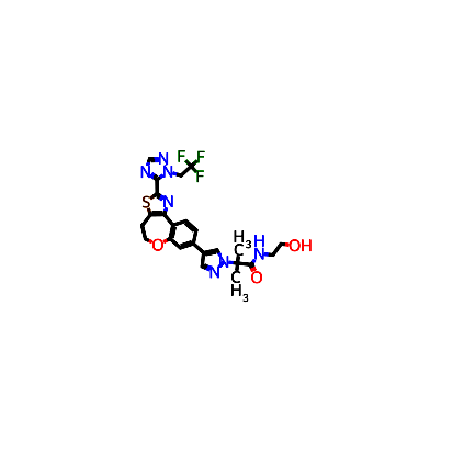 CC(C)(C(=O)NCCO)n1cc(-c2ccc3c(c2)OCCc2sc(-c4ncnn4CC(F)(F)F)nc2-3)cn1